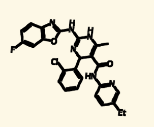 CCc1ccc(NC(=O)C2=C(C)NC(Nc3nc4ccc(F)cc4o3)=NC2c2ccccc2Cl)nc1